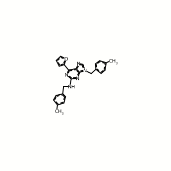 Cc1ccc(CNc2nc(-c3ccco3)c3ncn(Cc4ccc(C)cc4)c3n2)cc1